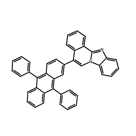 c1ccc(-c2c3ccccc3c(-c3ccccc3)c3cc(-c4cn5c6ccccc6nc5c5ccccc45)ccc23)cc1